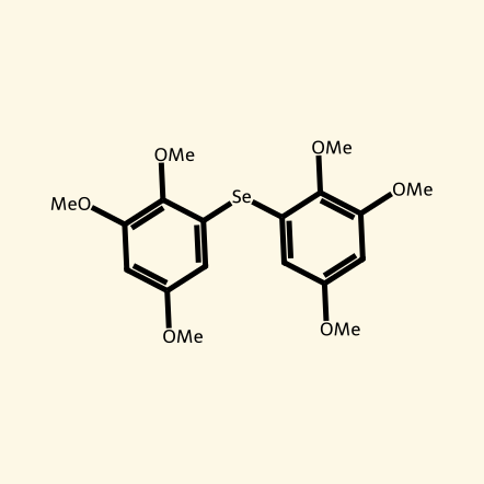 COc1cc(OC)c(OC)c([Se]c2cc(OC)cc(OC)c2OC)c1